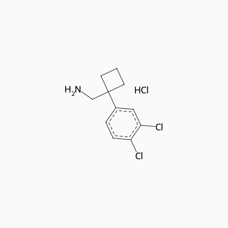 Cl.NCC1(c2ccc(Cl)c(Cl)c2)CCC1